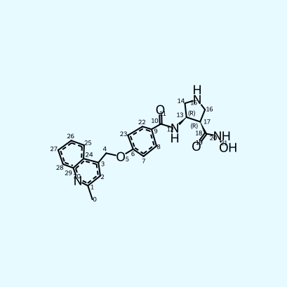 Cc1cc(COc2ccc(C(=O)N[C@H]3CNC[C@H]3C(=O)NO)cc2)c2ccccc2n1